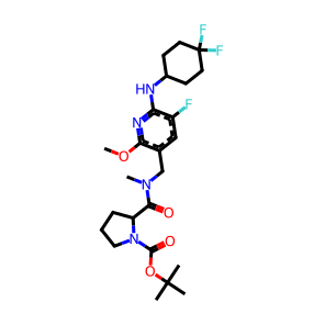 COc1nc(NC2CCC(F)(F)CC2)c(F)cc1CN(C)C(=O)C1CCCN1C(=O)OC(C)(C)C